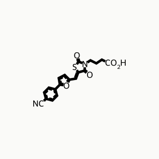 N#Cc1ccc(-c2ccc(/C=C3\SC(=O)N(CCCC(=O)O)C3=O)o2)cc1